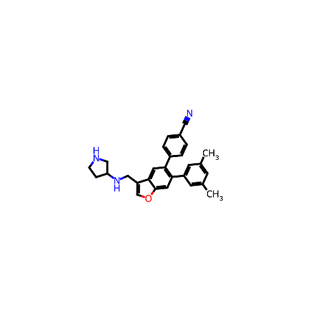 Cc1cc(C)cc(-c2cc3occ(CNC4CCNC4)c3cc2-c2ccc(C#N)cc2)c1